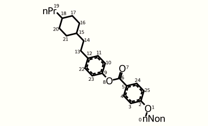 CCCCCCCCCOc1ccc(C(=O)Oc2ccc(CCC3CCC(CCC)CC3)cc2)cc1